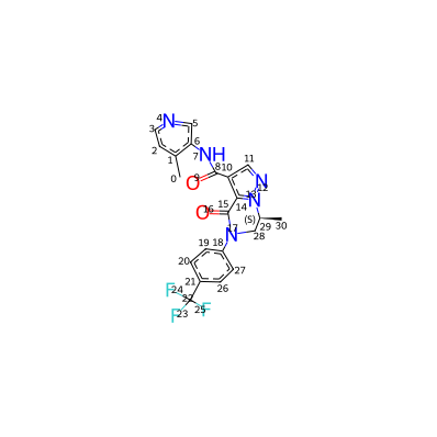 Cc1ccncc1NC(=O)c1cnn2c1C(=O)N(c1ccc(C(F)(F)F)cc1)C[C@@H]2C